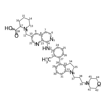 Cc1c(Nc2nccc3cc(CN4CCCCC4C(=O)O)cnc23)cccc1-c1cccc2c1CCN2CCCN1CCOCC1